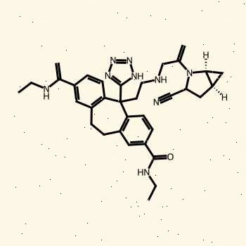 C=C(NCC)c1ccc2c(c1)CCc1cc(C(=O)NCC)ccc1C2(CCNCC(=C)N1C(C#N)C[C@@H]2C[C@@H]21)c1nnn[nH]1